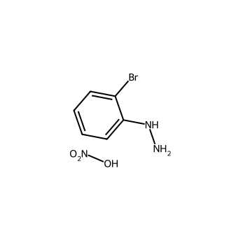 NNc1ccccc1Br.O=[N+]([O-])O